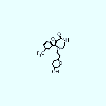 O=C1NCCN(CCC2CCC(O)CO2)c2c1oc1ccc(C(F)(F)F)cc21